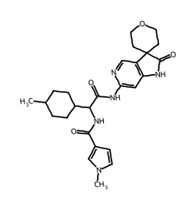 CC1CCC(C(NC(=O)c2ccn(C)c2)C(=O)Nc2cc3c(cn2)C2(CCOCC2)C(=O)N3)CC1